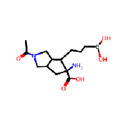 CC(=O)N1CC2CC(N)(C(=O)O)C(CCCB(O)O)C2C1